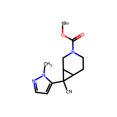 Cn1nccc1C1(C#N)C2CCN(C(=O)OC(C)(C)C)CC21